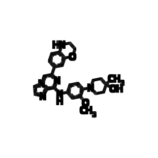 COc1cc(Nc2nc(-c3ccc4c(c3)OCCN4)cn3ccnc23)ccc1N1CCC(C)(O)CC1